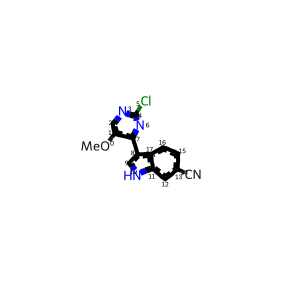 COc1cnc(Cl)nc1-c1c[nH]c2cc(C#N)ccc12